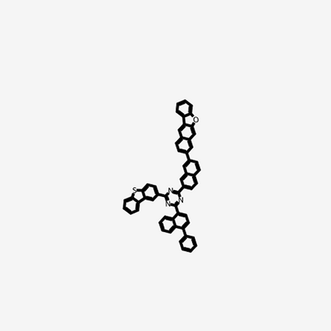 c1ccc(-c2ccc(-c3nc(-c4ccc5ccc(-c6ccc7cc8c(cc7c6)oc6ccccc68)cc5c4)nc(-c4ccc5sc6ccccc6c5c4)n3)c3ccccc23)cc1